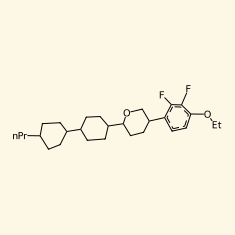 CCCC1CCC(C2CCC(C3CCC(c4ccc(OCC)c(F)c4F)CO3)CC2)CC1